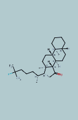 C[C@H](CCCC(F)(C(F)(F)F)C(F)(F)F)[C@H]1CC(=O)[C@H]2[C@@H]3CC[C@H]4CCCC[C@]4(C)[C@H]3CC[C@]12C